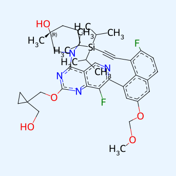 COCOc1cc(-c2ncc3c(N4CCC[C@@](C)(O)C4)nc(OCC4(CO)CC4)nc3c2F)c2c(C#C[Si](C(C)C)(C(C)C)C(C)C)c(F)ccc2c1